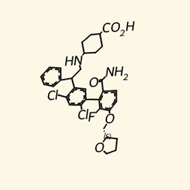 NC(=O)c1ccc(OC[C@@H]2CCCO2)c(F)c1-c1cc(C(CNC2CCC(C(=O)O)CC2)c2ccccc2)c(Cl)cc1Cl